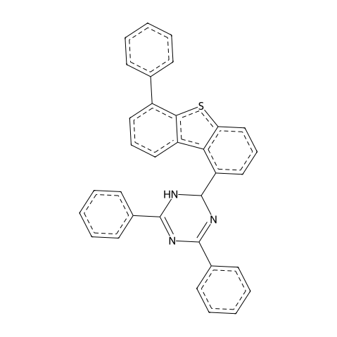 c1ccc(C2=NC(c3cccc4sc5c(-c6ccccc6)cccc5c34)NC(c3ccccc3)=N2)cc1